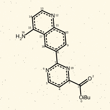 CC(C)COC(=O)c1ccnc(-c2ccc3nccc(N)c3c2)n1